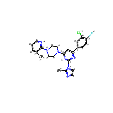 CC(C)c1nccn1-c1nc(-c2ccc(F)c(Cl)c2)cc(N2CCN(c3ncccc3C(F)(F)F)CC2)n1